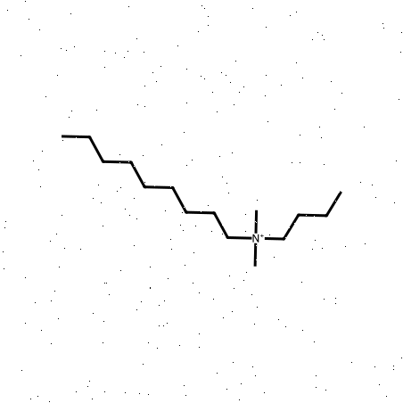 CCCCCCCCC[N+](C)(C)CCCC